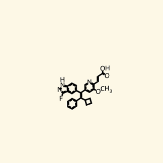 COc1cc(C(=C(c2ccccc2)C2CCC2)c2ccc3[nH]nc(F)c3c2)cnc1C=CC(=O)O